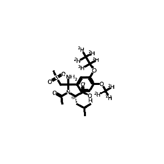 [2H]C([2H])([2H])Oc1ccc(C(N)(CS(C)(=O)=O)N(C(C)=O)[C@@H](CC(C)C)C(=O)O)cc1OC([2H])([2H])C([2H])([2H])[2H]